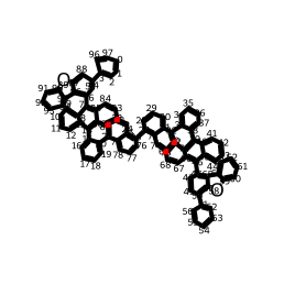 c1ccc(-c2cc(-c3c4ccccc4c(-c4ccccc4-c4cccc5c(-c6cccc7c(-c8ccccc8-c8c9ccccc9c(-c9ccc(-c%10ccccc%10)c%10oc%11ccccc%11c9%10)c9ccccc89)cccc67)cccc45)c4ccccc34)c3c(c2)oc2ccccc23)cc1